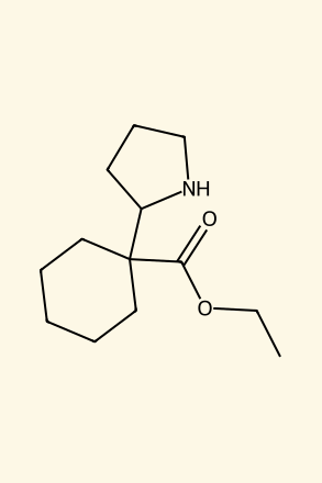 CCOC(=O)C1(C2CCCN2)CCCCC1